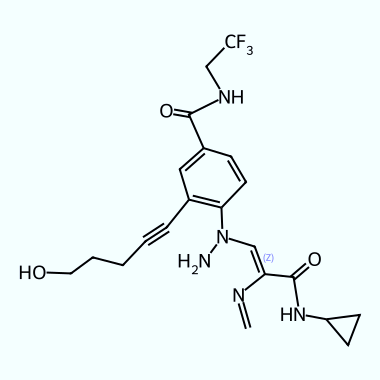 C=N/C(=C\N(N)c1ccc(C(=O)NCC(F)(F)F)cc1C#CCCCO)C(=O)NC1CC1